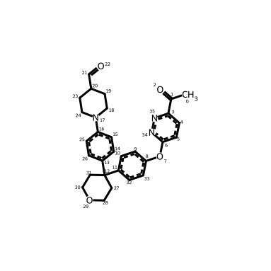 CC(=O)c1ccc(Oc2ccc(C3(c4ccc(N5CCC(C=O)CC5)cc4)CCOCC3)cc2)nn1